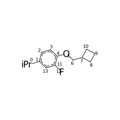 CC(C)c1ccc(OCC2CCC2)c(F)c1